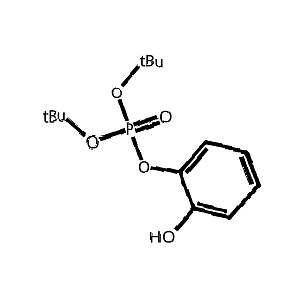 CC(C)(C)OP(=O)(Oc1ccccc1O)OC(C)(C)C